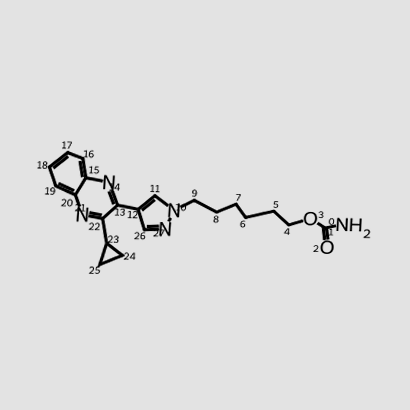 NC(=O)OCCCCCCn1cc(-c2nc3ccccc3nc2C2CC2)cn1